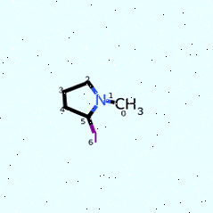 CN1CCCC1I